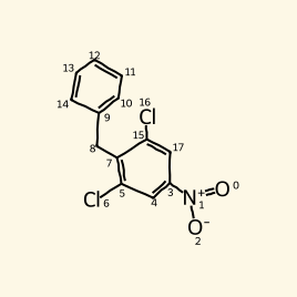 O=[N+]([O-])c1cc(Cl)c(Cc2ccccc2)c(Cl)c1